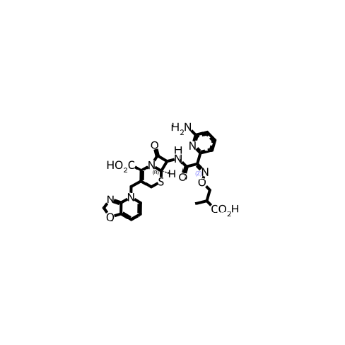 CC(CO/N=C(\C(=O)NC1C(=O)N2C(C(=O)O)=C(CN3C=CC=C4OCN=C43)CS[C@H]12)c1cccc(N)n1)C(=O)O